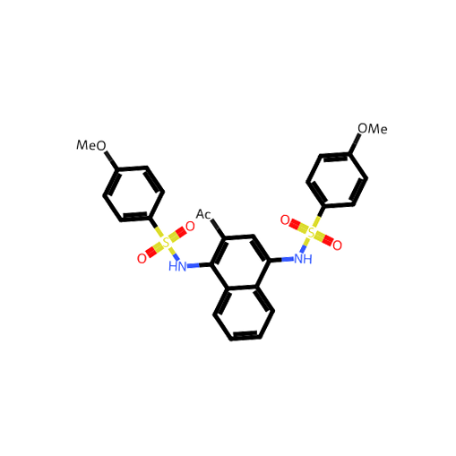 COc1ccc(S(=O)(=O)Nc2cc(C(C)=O)c(NS(=O)(=O)c3ccc(OC)cc3)c3ccccc23)cc1